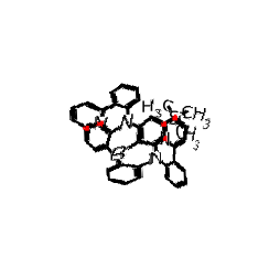 C[Si](C)(C)c1cc2c3c(c1)N(c1ccccc1-c1ccccn1)c1ccccc1B3c1ccccc1N2c1ccccc1-c1ccccn1